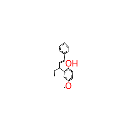 CCC(C=Cc1ccccc1)c1cc(OC)ccc1O